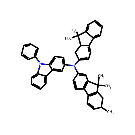 CC1C=CC2=C(C1)C(C)(C)c1cc(N(C3=CC=C4c5ccccc5C(C)(C)C4C3)c3ccc4c(c3)c3ccccc3n4-c3ccccc3)ccc12